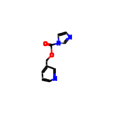 O=C(OCc1cccnc1)n1ccnc1